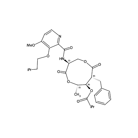 COc1ccnc(C(=O)N[C@H]2COC(=O)[C@H](Cc3ccccc3)[C@@H](OC(=O)C(C)C)[C@H](C)OC2=O)c1OCCC(C)C